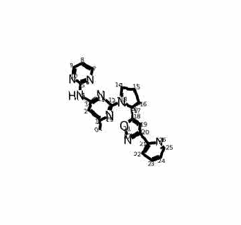 Cc1cc(Nc2ncccn2)nc(N2CCC[C@H]2c2cc(-c3ccccn3)no2)n1